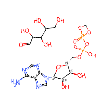 Nc1ncnc2c1ncn2[C@@H]1O[C@H](COP(=O)(O)OP2(=O)OCO2)[C@@H](O)[C@H]1O.O=CC(O)C(O)C(O)CO